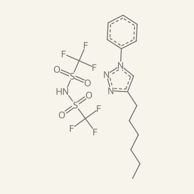 CCCCCCc1cn(-c2ccccc2)nn1.O=S(=O)(NS(=O)(=O)C(F)(F)F)C(F)(F)F